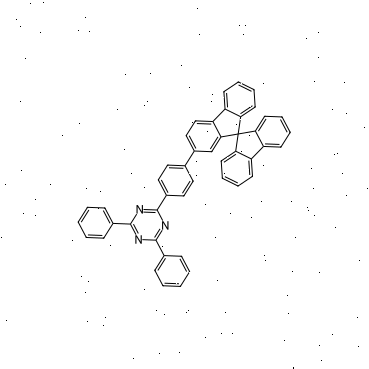 c1ccc(-c2nc(-c3ccccc3)nc(-c3ccc(-c4ccc5c(c4)C4(c6ccccc6-c6ccccc64)c4ccccc4-5)cc3)n2)cc1